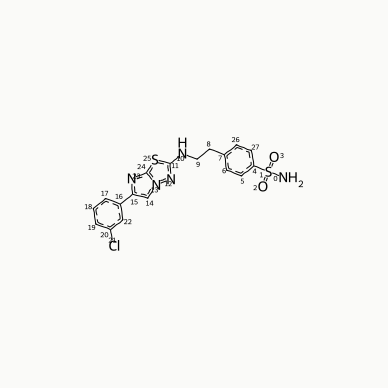 NS(=O)(=O)c1ccc(CCNc2nn3cc(-c4cccc(Cl)c4)nc3s2)cc1